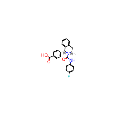 C[C@H]1Cc2ccccc2[C@@H](c2ccc(C(=O)O)cc2)N1C(=O)Nc1ccc(F)cc1